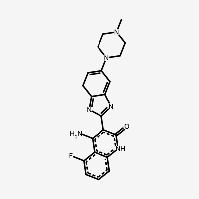 CN1CCN(C2=CCC3=NC(c4c(N)c5c(F)cccc5[nH]c4=O)=NC3=C2)CC1